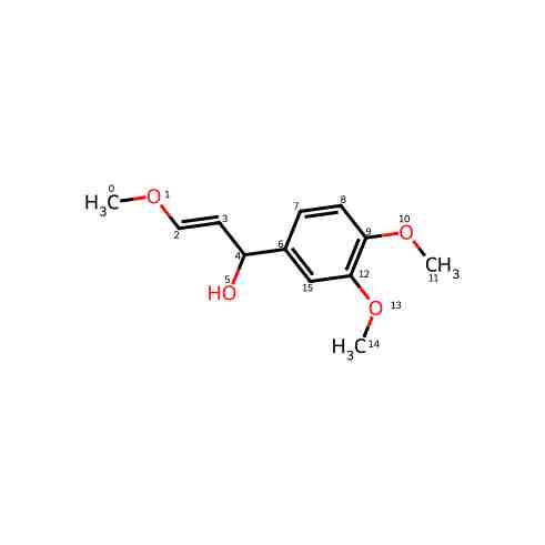 COC=CC(O)c1ccc(OC)c(OC)c1